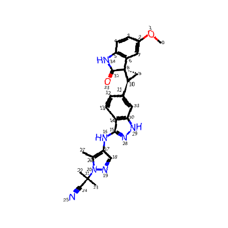 COc1ccc2c(c1)[C@]1(C[C@H]1c1ccc3c(Nc4cnn(C(C)(C)C#N)c4C)n[nH]c3c1)C(=O)N2